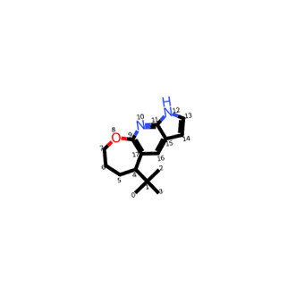 CC(C)(C)C1CCCOc2nc3[nH]ccc3cc21